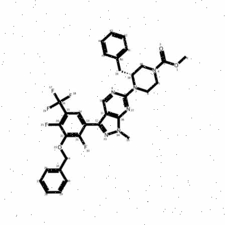 COC(=O)N1CCN(c2ncc3c(-c4cc(C(F)(F)F)c(F)c(OCc5ccccc5)c4F)nn(C)c3n2)[C@H](Cc2ccccc2)C1